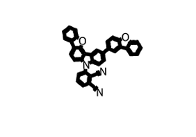 N#Cc1cccc(-n2c3ccc(-c4ccc5oc6ccccc6c5c4)cc3c3c4oc5ccccc5c4ccc32)c1C#N